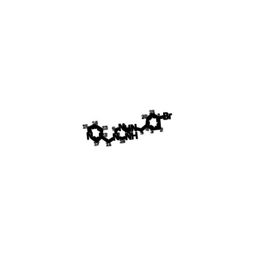 Brc1ccc(CNC2=NCN(Cc3cccnc3)CN2)cc1